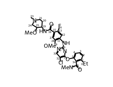 CCc1cccc(Oc2nc(Nc3cc(F)c(C(=O)NC4CCN(C)CC4OC)cc3OC)ncc2Cl)c1C(=O)NC